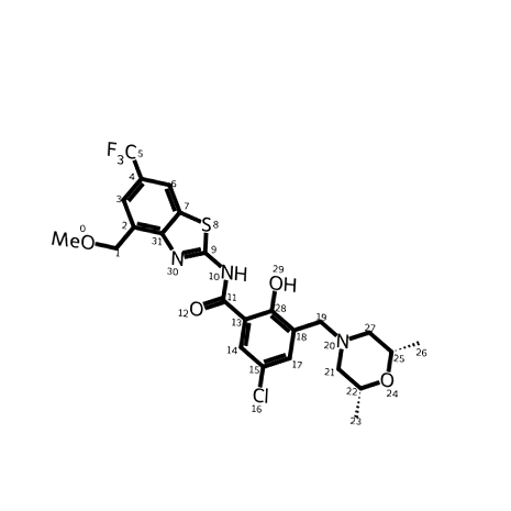 COCc1cc(C(F)(F)F)cc2sc(NC(=O)c3cc(Cl)cc(CN4C[C@@H](C)O[C@@H](C)C4)c3O)nc12